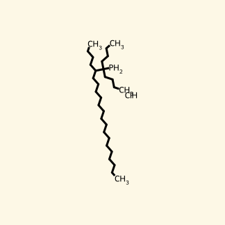 CCCCCCCCCCCCCCCCC(CCCC)C(P)(CCCC)CCCC.Cl